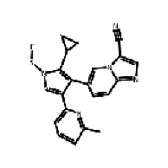 Cc1cccc(-c2nn(SF)c(C3CC3)c2-c2ccc3ncc(C#N)n3c2)n1